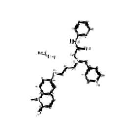 Cl.Cl.Cn1c(=O)ccc2cc(OCCCN(CC(=O)Nc3ccccc3)Cc3ccncc3)ccc21